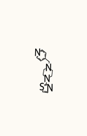 c1cc(CN2CCN(c3nccs3)CC2)ccn1